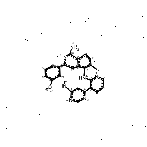 CNc1cc(-c2cccnc2Nc2c(C)ccc3c(N)nc(-c4cccc(OC)c4)cc23)ncn1